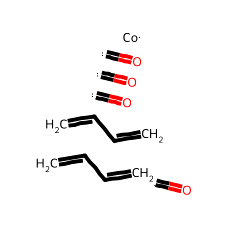 C=CC=C.C=CC=C.[C]=O.[C]=O.[C]=O.[C]=O.[Co]